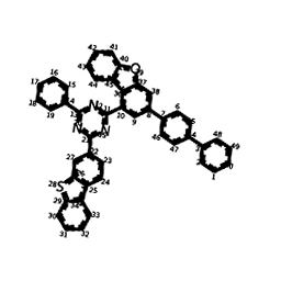 c1ccc(-c2ccc(-c3cc(-c4nc(-c5ccccc5)nc(-c5ccc6c(c5)sc5ccccc56)n4)c4c(c3)oc3ccccc34)cc2)cc1